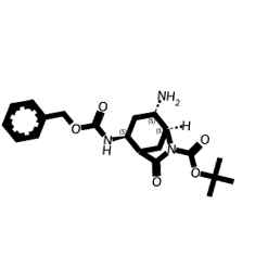 CC(C)(C)OC(=O)N1C(=O)C2C[C@H]1[C@@H](N)C[C@@H]2NC(=O)OCc1ccccc1